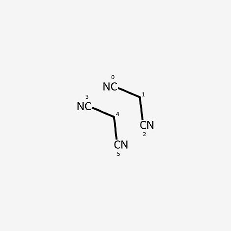 N#CCC#N.N#CCC#N